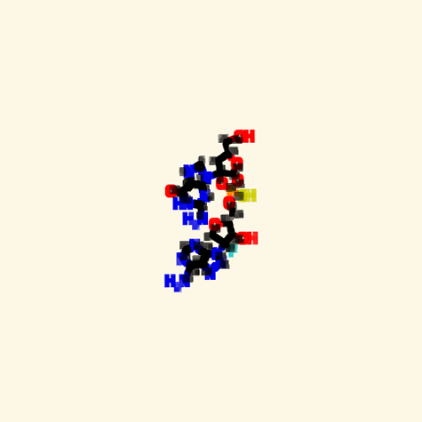 Nc1nc2c(ncn2C2(OP(=O)(S)OC[C@H]3OCC(F)(n4nnc5c(N)ncnc54)[C@@H]3O)CO[C@H](CO)C2)c(=O)[nH]1